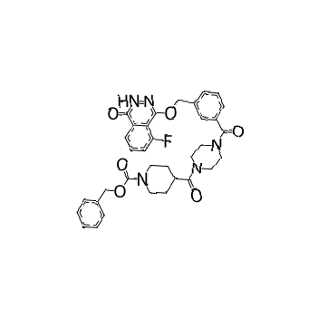 O=C(OCc1ccccc1)N1CCC(C(=O)N2CCN(C(=O)c3cccc(COc4n[nH]c(=O)c5cccc(F)c45)c3)CC2)CC1